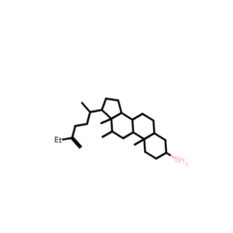 BC1CCC2(C)C(CCC3C2CC(C)C2(C)C(C(C)CCC(=C)CC)CCC32)C1